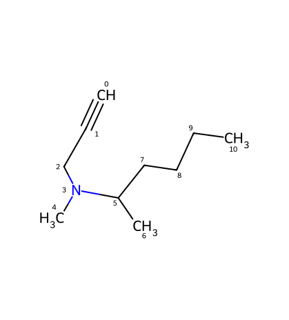 C#CCN(C)C(C)CCCC